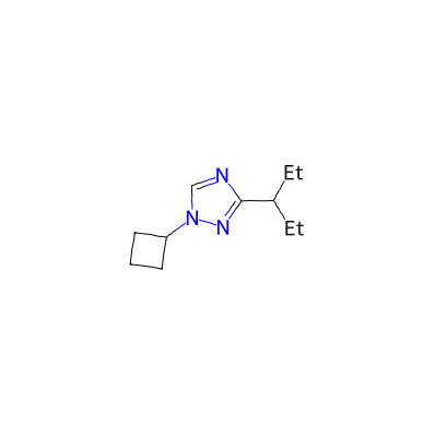 CCC(CC)c1ncn(C2CCC2)n1